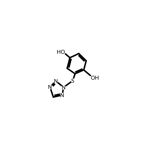 Oc1ccc(O)c(Sn2ncnn2)c1